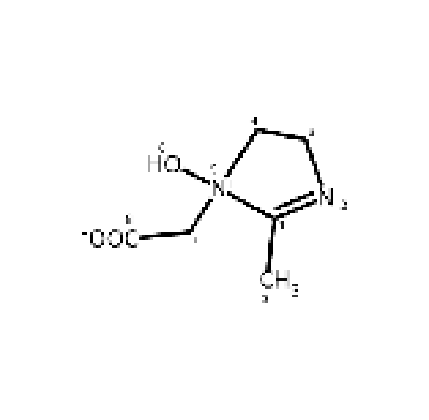 CC1=NCC[N+]1(O)CC(=O)[O-]